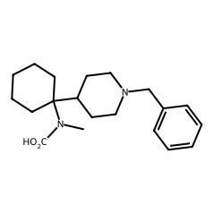 CN(C(=O)O)C1(C2CCN(Cc3ccccc3)CC2)CCCCC1